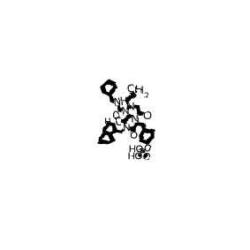 C=CCN1CC(=O)N2C(Cc3ccc(OP(=O)(O)O)cc3)C(=O)N(Cc3cccc4ccccc34)C(C)C2N1C(=O)NCc1ccccc1